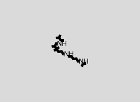 C=C(NCC(C)C(C)(C)CCCNCCCCCNC(C)C)C(C)C